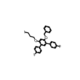 Fc1ccc(-c2cc(-c3ccc(F)cc3)c(OCc3ccccc3)cc2OCCCI)cc1